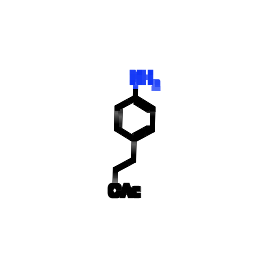 CC(=O)OCCc1ccc(N)cc1